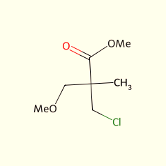 COCC(C)(CCl)C(=O)OC